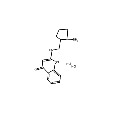 Cl.Cl.NC1CCCC1CNc1cc(=O)c2ccccc2[nH]1